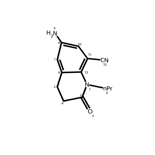 CCCN1C(=O)CCc2cc(N)cc(C#N)c21